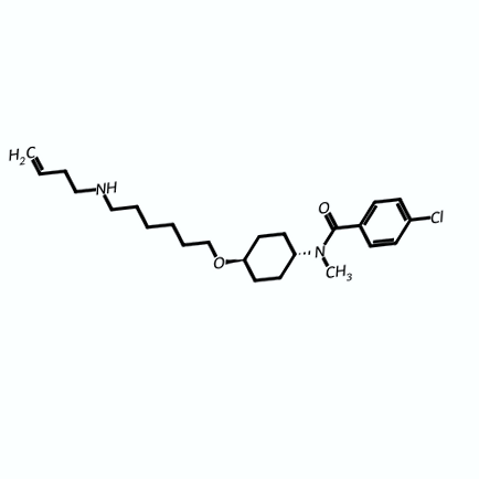 C=CCCNCCCCCCO[C@H]1CC[C@H](N(C)C(=O)c2ccc(Cl)cc2)CC1